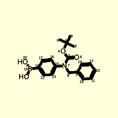 CC(C)(C)OC(=O)N(Cc1ccccc1)c1ccc(B(O)O)cc1